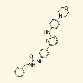 O=C(NCc1ccccc1)Nc1ccc(-c2ccnc(Nc3ccc(N4CCOCC4)cc3)n2)cc1